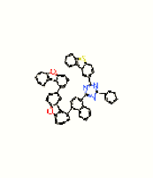 c1ccc(-c2nc(-c3ccc4sc5ccccc5c4c3)nc(-c3ccc(-c4cccc5oc6ccc(-c7cccc8oc9ccccc9c78)cc6c45)c4ccccc34)n2)cc1